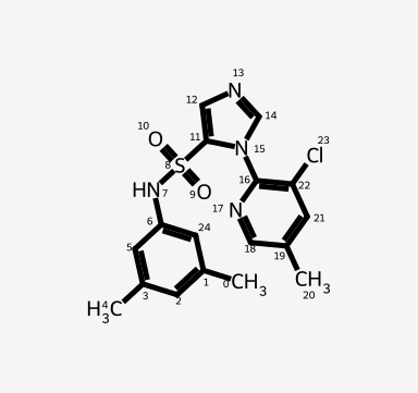 Cc1cc(C)cc(NS(=O)(=O)c2cncn2-c2ncc(C)cc2Cl)c1